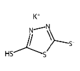 [K+].[S-]c1nnc(S)s1